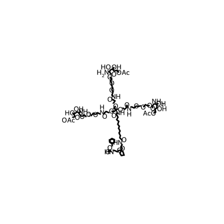 CC(=O)OCC1OC(OCCOCCOCCNC(=O)CCOCC(COCCC(=O)NCCOCCOCCOC2OC(COC(C)=O)C(O)C(O)C2N)(COCCC(=O)NCCOCCOCCOC2OC(COC(C)=O)C(O)C(O)C2N)NC(=O)CCCCCCCCCCC(=O)NCCOC2(OCCNC(=O)OCc3ccccc3)CCCC2)C(N)C(O)C1O